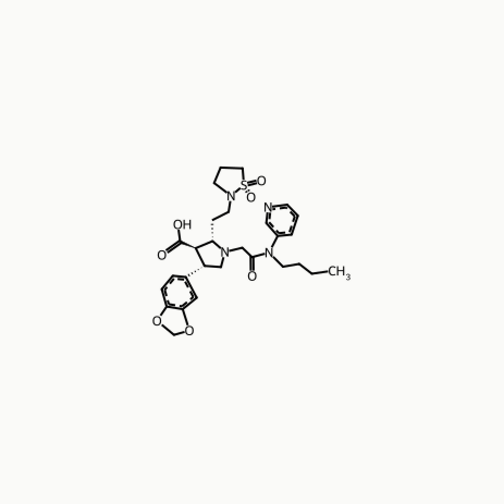 CCCCN(C(=O)CN1C[C@H](c2ccc3c(c2)OCO3)[C@@H](C(=O)O)[C@@H]1CCN1CCCS1(=O)=O)c1cccnc1